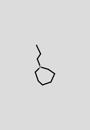 CCCN1CCCCCC1